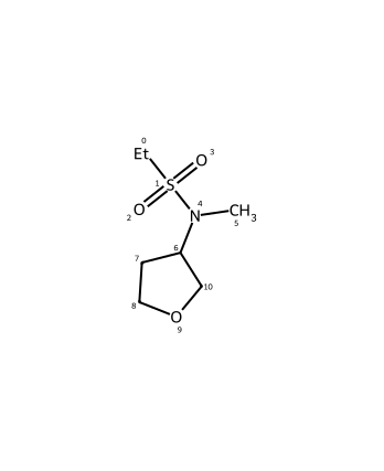 CCS(=O)(=O)N(C)C1CCOC1